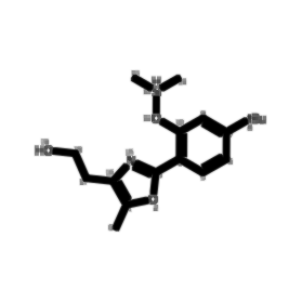 Cc1oc(-c2ccc(C(C)(C)C)cc2O[SiH](C)C)nc1CCO